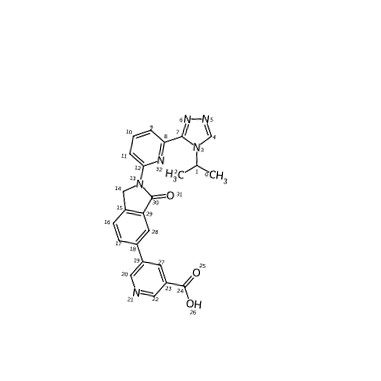 CC(C)n1cnnc1-c1cccc(N2Cc3ccc(-c4cncc(C(=O)O)c4)cc3C2=O)n1